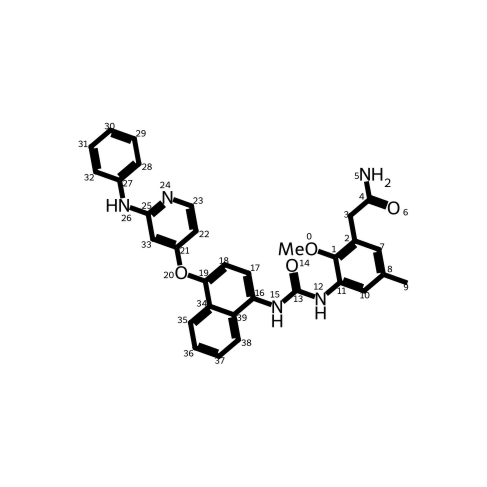 COc1c(CC(N)=O)cc(C)cc1NC(=O)Nc1ccc(Oc2ccnc(Nc3ccccc3)c2)c2ccccc12